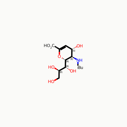 CCC(C)N[C@H]1[C@H]([C@H](O)[C@H](O)CO)OC(C(=O)O)=C[C@@H]1O